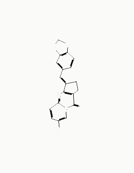 O=c1c2c(nc3ccc(Cl)cn13)C(=Cc1ccc3c(c1)OCO3)CC2